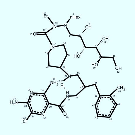 CCCCCCN(C[C@H](O)[C@@H](O)[C@H](O)[C@H](O)CO)N(CC)C(=O)N1CCC(N(C)CC(CNC(=O)c2nc(Cl)c(N)nc2N)Cc2ccccc2C)CC1